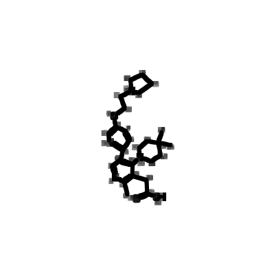 Cc1ncc(-c2ccc(OCCN3CCCC3)cn2)c(N2CCC(C)(C)CC2)c1CC(=O)O